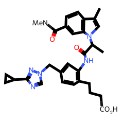 CNC(=O)c1ccc2c(C)cn(C(C)C(=O)Nc3cc(Cn4cnc(C5CC5)n4)ccc3CCCC(=O)O)c2c1